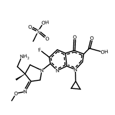 CON=C1CN(c2nc3c(cc2F)c(=O)c(C(=O)O)cn3C2CC2)C[C@@]1(C)CN.CS(=O)(=O)O